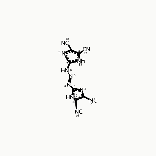 [C-]#[N+]c1nc(N=NNc2nc(C#N)c(C#N)[nH]2)[nH]c1[N+]#[C-]